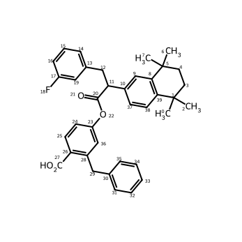 CC1(C)CCC(C)(C)c2cc(C(Cc3cccc(F)c3)C(=O)Oc3ccc(C(=O)O)c(Cc4ccccc4)c3)ccc21